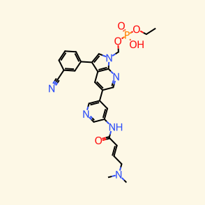 CCOP(=O)(O)OCn1cc(-c2cccc(C#N)c2)c2cc(-c3cncc(NC(=O)/C=C/CN(C)C)c3)cnc21